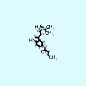 CCCC(=O)Oc1ccc2[nH]cc(CCN(C)C(C)C)c2c1